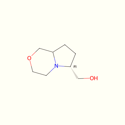 OC[C@H]1CCC2COCCN21